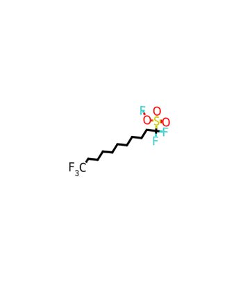 O=S(=O)(OF)C(F)(F)CCCCCCCCCC(F)(F)F